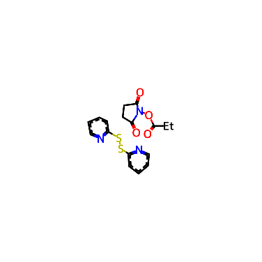 CCC(=O)ON1C(=O)CCC1=O.c1ccc(SSc2ccccn2)nc1